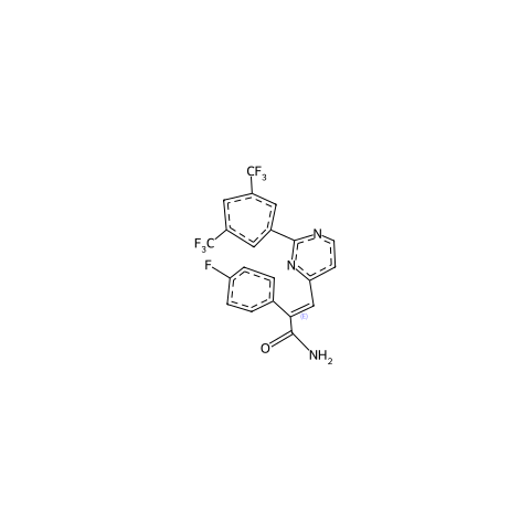 NC(=O)/C(=C/c1ccnc(-c2cc(C(F)(F)F)cc(C(F)(F)F)c2)n1)c1ccc(F)cc1